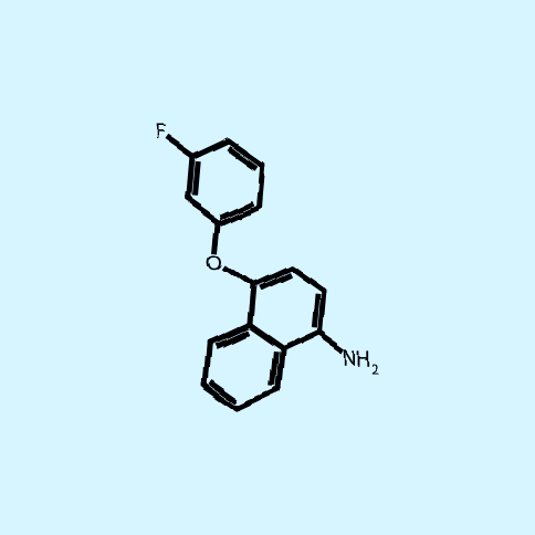 Nc1ccc(Oc2cccc(F)c2)c2ccccc12